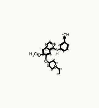 C#Cc1cccc(Nc2ncnc3cc(OC)c(OC4CCN(CI)CC4)cc23)c1